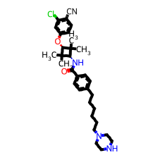 CC1(C)[C@H](NC(=O)c2ccc(CCCCCCN3CCNCC3)cc2)C(C)(C)[C@H]1Oc1ccc(C#N)c(Cl)c1